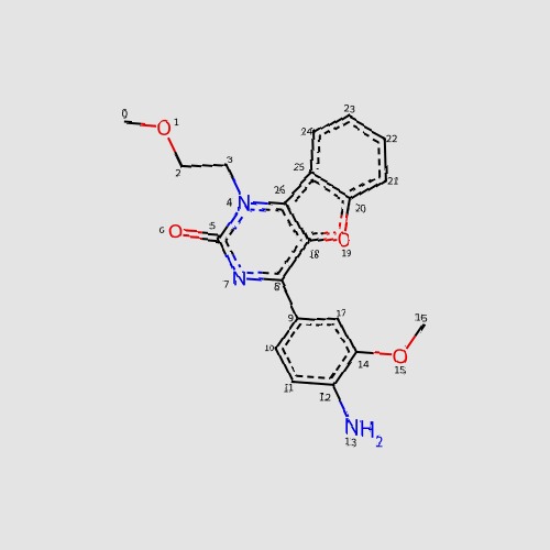 COCCn1c(=O)nc(-c2ccc(N)c(OC)c2)c2oc3ccccc3c21